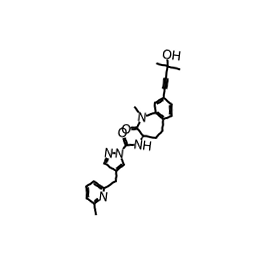 Cc1cccc(Cc2cnn(C(=O)N[C@@H]3CCc4ccc(C#CC(C)(C)O)cc4N(C)C3=O)c2)n1